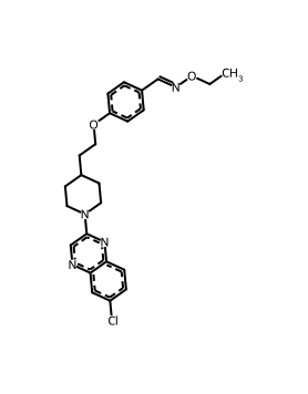 CCON=Cc1ccc(OCCC2CCN(c3cnc4cc(Cl)ccc4n3)CC2)cc1